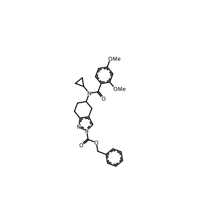 COc1ccc(C(=O)N(C2CC2)C2CCc3nn(C(=O)OCc4ccccc4)cc3C2)c(OC)c1